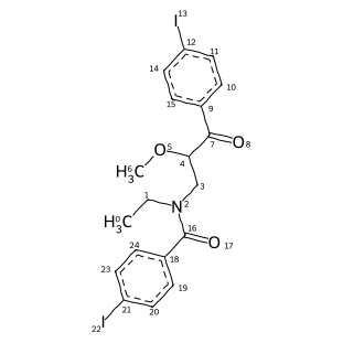 CCN(CC(OC)C(=O)c1ccc(I)cc1)C(=O)c1ccc(I)cc1